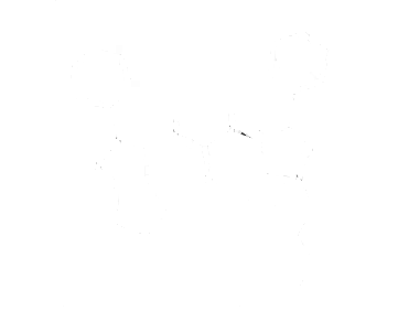 CSCCN1CC(c2ccccc2)[C@H](NC(=O)Nc2c3c(nn2-c2ccccc2)CCC3)C1